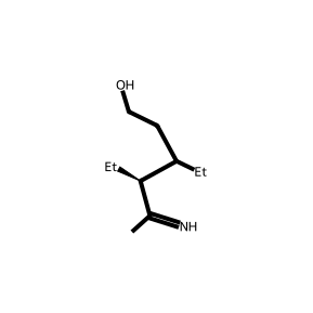 [CH2]CC(CCO)[C@H](CC)C(C)=N